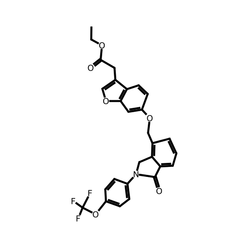 CCOC(=O)Cc1coc2cc(OCc3cccc4c3CN(c3ccc(OC(F)(F)F)cc3)C4=O)ccc12